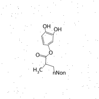 CCCCCCCCCCC(C)C(=O)Oc1ccc(O)c(O)c1